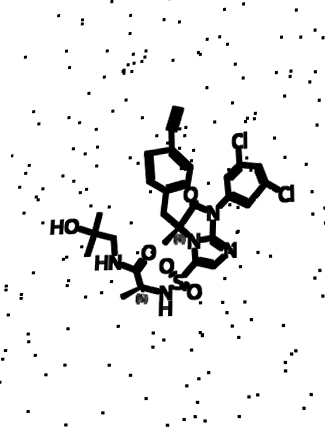 C#Cc1ccc(C[C@]2(C)C(=O)N(c3cc(Cl)cc(Cl)c3)c3ncc(S(=O)(=O)N[C@@H](C)C(=O)NCC(C)(C)O)n32)cc1